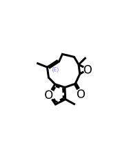 C/C1=C\CCC2(C)OC2C(=O)c2c(C)coc2C1